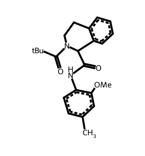 COc1cc(C)ccc1NC(=O)C1c2ccccc2CCN1C(=O)C(C)(C)C